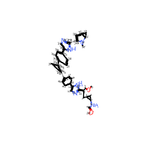 COC[C@@H](CC1CC1NC=O)c1ncc(-c2ccc([C@@H]3C[C@H]3c3ccc(-c4cnc([C@@H]5CC6CC6N5C)[nH]4)cc3)cc2)[nH]1